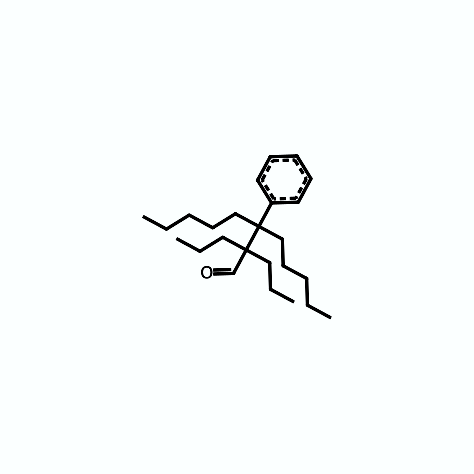 CCCCCC(CCCCC)(c1ccccc1)C(C=O)(CCC)CCC